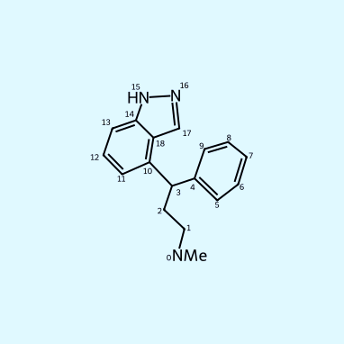 CNCCC(c1ccccc1)c1cccc2[nH]ncc12